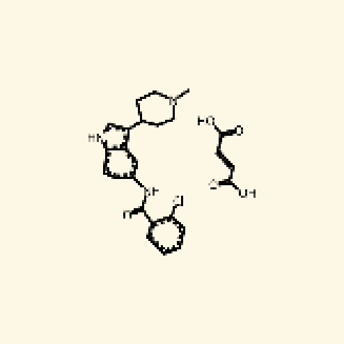 CN1CCC(c2c[nH]c3ccc(NC(=O)c4ccccc4Cl)cc23)CC1.O=C(O)C=CC(=O)O